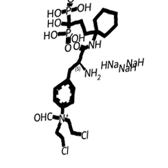 N[C@@H](Cc1ccc([N+](C=O)(CCCl)CCCl)cc1)C(=O)NC1(CCC(O)(P(=O)(O)O)P(=O)(O)O)CCCCC1.[NaH].[NaH].[NaH]